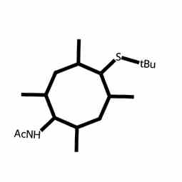 CC(=O)NC1C(C)CC(C)C(SC(C)(C)C)C(C)CC1C